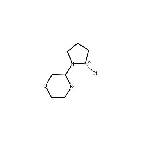 CC[C@H]1CCCN1C1COCC[N]1